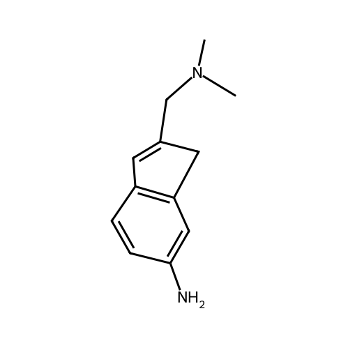 CN(C)CC1=Cc2ccc(N)cc2C1